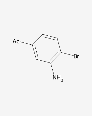 CC(=O)c1ccc(Br)c(N)c1